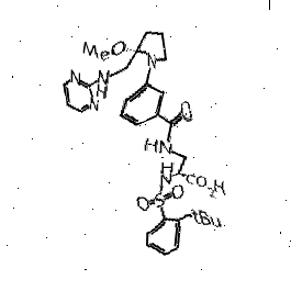 CO[C@]1(CNc2ncccn2)CCCN1c1cccc(C(=O)NC[C@H](NS(=O)(=O)c2ccccc2C(C)(C)C)C(=O)O)c1